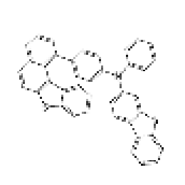 c1ccc(N(c2ccc(-c3cccc4ccc5sc6ccccc6c5c34)cc2)c2ccc3c(c2)sc2ccccc23)cc1